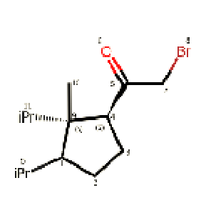 CC(C)C1CC[C@H](C(=O)CBr)[C@@]1(C)C(C)C